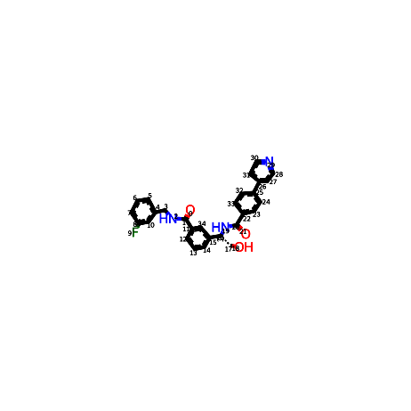 O=C(NCc1cccc(F)c1)c1cccc([C@@H](CO)NC(=O)c2ccc(-c3ccncc3)cc2)c1